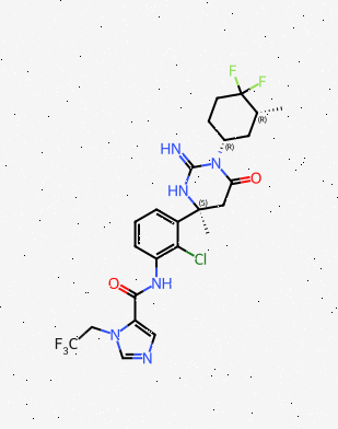 C[C@@H]1C[C@H](N2C(=N)N[C@](C)(c3cccc(NC(=O)c4cncn4CC(F)(F)F)c3Cl)CC2=O)CCC1(F)F